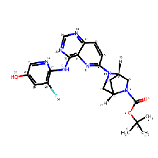 CC(C)(C)OC(=O)N1C[C@@H]2C[C@H]1CN2c1ccc2ncnc(Nc3ncc(O)cc3F)c2n1